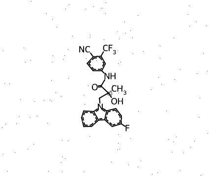 C[C@](O)(Cn1c2ccccc2c2cc(F)ccc21)C(=O)Nc1ccc(C#N)c(C(F)(F)F)c1